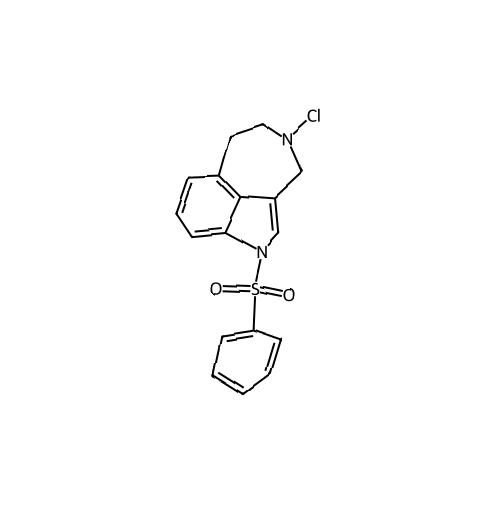 O=S(=O)(c1ccccc1)n1cc2c3c(cccc31)CCN(Cl)C2